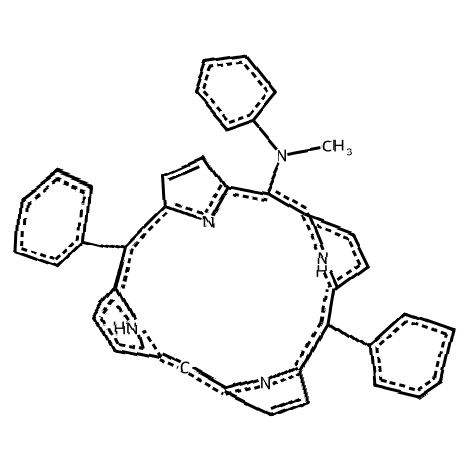 CN(c1ccccc1)c1c2nc(c(-c3ccccc3)c3ccc(cc4nc(c(-c5ccccc5)c5ccc1[nH]5)C=C4)[nH]3)C=C2